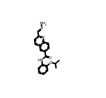 CC(C)Oc1ccccc1NC(=O)c1ccc2nc(C=NN)ccc2c1